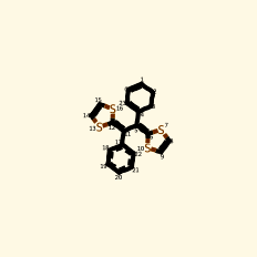 C1=CCCC(C(=C2SC=CS2)C(=C2SC=CS2)c2ccccc2)=C1